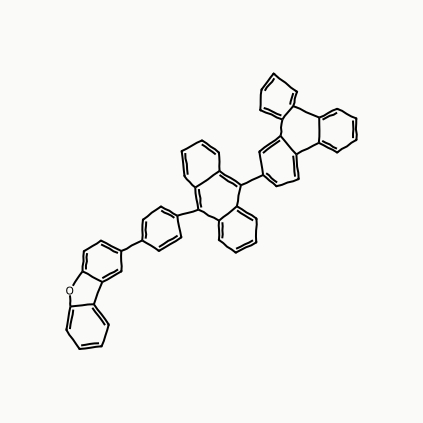 c1ccc2c(c1)oc1ccc(-c3ccc(-c4c5ccccc5c(-c5ccc6c7ccccc7c7ccccc7c6c5)c5ccccc45)cc3)cc12